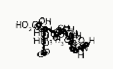 C/C(NCC1(C)CC2(C)CC(C)(C)CC2(OCCN(C)C(=O)OC/C=C/c2ccc(O[C@H]3C[C@@H](O)C[C@@H](C(=O)O)O3)c(NC(=O)CCNC(=O)CCCCCN3C(=O)C=CC3=O)c2)C1)=C(/C=N)c1ccc(-c2ccc3cccc(C(=O)Nc4nc5ccccc5s4)c3c2)nc1C(=O)O